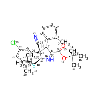 Cc1ccccc1[C@@H]1[C@H](C(=O)OC(C)(C)C)N[C@@H](CC(C)(C)C)[C@]1(C#N)c1cc(Cl)ccc1F